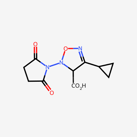 O=C(O)C1C(C2CC2)=NON1N1C(=O)CCC1=O